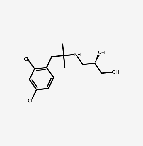 CC(C)(Cc1ccc(Cl)cc1Cl)NC[C@@H](O)CO